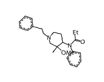 CCC(=O)N(c1ccccc1)C1CCN(CCc2ccccc2)CC1(C)OC